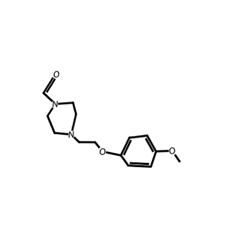 COc1ccc(OCCN2CCN(C=O)CC2)cc1